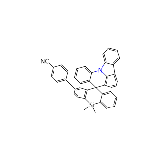 C[Si]1(C)c2ccccc2C2(c3ccccc3-n3c4ccccc4c4cccc2c43)c2cc(-c3ccc(C#N)cc3)ccc21